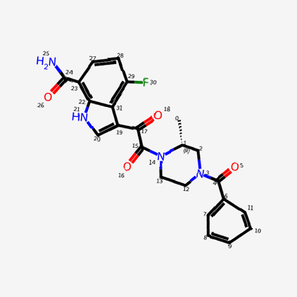 C[C@@H]1CN(C(=O)c2ccccc2)CCN1C(=O)C(=O)c1c[nH]c2c(C(N)=O)ccc(F)c12